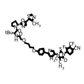 Cc1ncsc1-c1cnc([C@@H]2CCCN2C(=O)[C@@H](NC(=O)COCCCCOc2ccc(-c3ccc(N4C(=S)N(c5ccc(C#N)c(C(F)(F)F)c5F)C(=O)C4(C)C)cn3)cc2)C(C)(C)C)o1